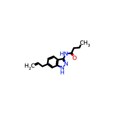 C=CCc1ccc2c(NC(=O)CCC)n[nH]c2c1